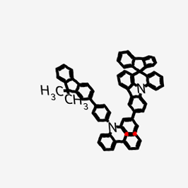 CC1(C)c2ccccc2-c2ccc(-c3ccc(N(c4cccc(-c5ccc6c(c5)c5cccc7c5n6-c5ccccc5C75c6ccccc6-c6ccccc65)c4)c4ccccc4-c4ccccc4)cc3)cc21